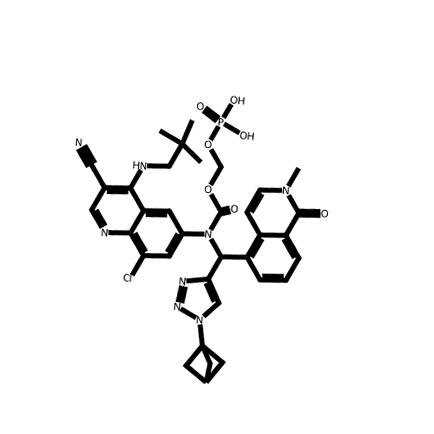 Cn1ccc2c(C(c3cn(C45CC(C4)C5)nn3)N(C(=O)OCOP(=O)(O)O)c3cc(Cl)c4ncc(C#N)c(NCC(C)(C)C)c4c3)cccc2c1=O